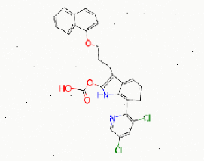 O=C(O)Oc1[nH]c2c(-c3ncc(Cl)cc3Cl)cccc2c1CCCOc1cccc2ccccc12